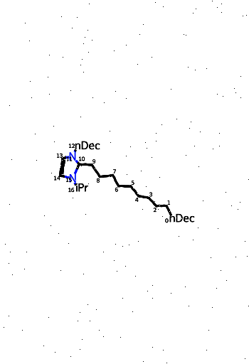 CCCCCCCCCCCCCCCCCCCC1N(CCCCCCCCCC)C=CN1C(C)C